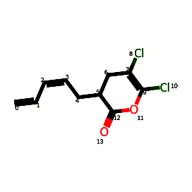 C=C/C=C\CC1CC(Cl)=C(Cl)OC1=O